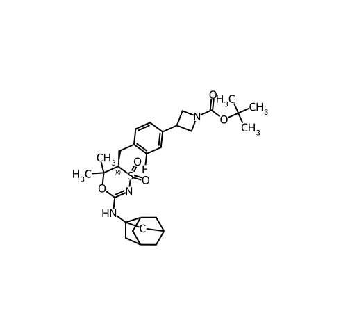 CC(C)(C)OC(=O)N1CC(c2ccc(C[C@@H]3C(C)(C)OC(NC45CC6CC(CC4C6)C5)=NS3(=O)=O)c(F)c2)C1